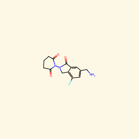 NCc1cc(F)c2c(c1)C(=O)N(N1C(=O)CCCC1=O)C2